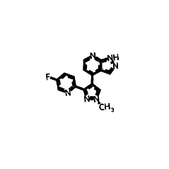 Cn1cc(-c2ccnc3[nH]ncc23)c(-c2ccc(F)cn2)n1